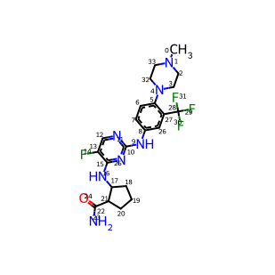 CN1CCN(c2ccc(Nc3ncc(F)c(NC4CCCC4C(N)=O)n3)cc2C(F)(F)F)CC1